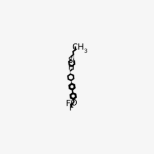 CCCCC[Si@H]1CC[C@H](CC[C@H]2CC[C@H](c3ccc(-c4ccc(OC(F)F)cc4)cc3)CC2)CC1